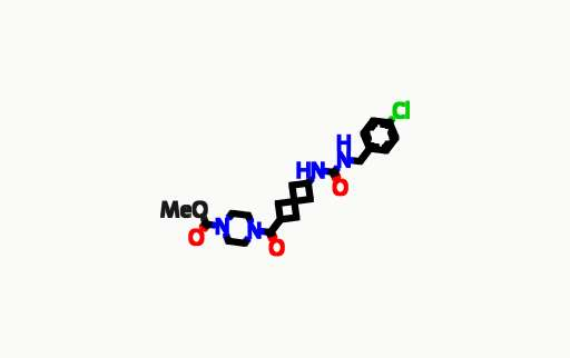 COC(=O)N1CCN(C(=O)C2CC3(CC(NC(=O)NCc4ccc(Cl)cc4)C3)C2)CC1